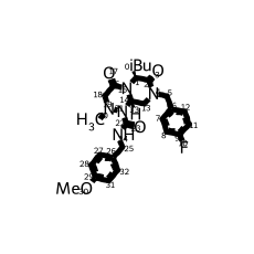 CCC(C)[C@H]1C(=O)N(Cc2ccc(F)cc2)C[C@H]2N1C(=O)CN(C)N2C(=O)NCc1ccc(OC)cc1